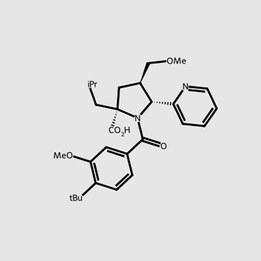 COC[C@@H]1C[C@@](CC(C)C)(C(=O)O)N(C(=O)c2ccc(C(C)(C)C)c(OC)c2)[C@H]1c1ccccn1